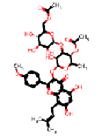 COc1ccc(-c2oc3c(CC=C(C)C)c(O)cc(O)c3c(=O)c2O[C@@H]2OC(C)[C@H](OC(C)=O)C(O[C@@H]3OC(COC(C)=O)[C@@H](O)[C@H](O)C3O)[C@@H]2O)cc1